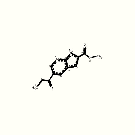 CCC(=O)c1cnc2[nH]c(C(=O)OC)cc2c1